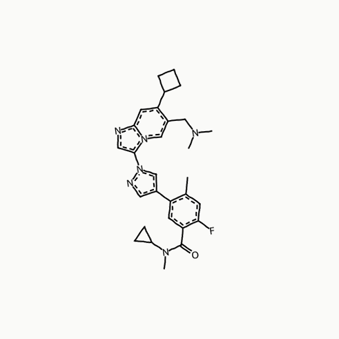 Cc1cc(F)c(C(=O)N(C)C2CC2)cc1-c1cnn(-c2cnc3cc(C4CCC4)c(CN(C)C)cn23)c1